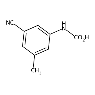 Cc1cc(C#N)cc(NC(=O)O)c1